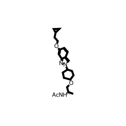 CC(=O)N[C@@H](C)COC1CCC(n2cc3ccc(OCCC4CC4)cc3n2)CC1